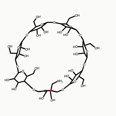 NCC1OC2OC3C(CO)OC(OC4C(CO)OC(OC5C(CO)OC(OC6C(CO)OC(OC7C(CO)OC(OC8C(CO)OC(OC1C(O)C2O)C(O)C8O)C(O)C7O)C(O)C6O)C(O)C5O)C(O)C4O)C(O)C3O